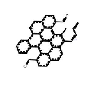 C=C/C=C\c1c(C)c2c3c(C=O)ccc4ccc5c6ccccc6c6c7c(C=O)ccc8ccc1c(c87)c2c6c5c43